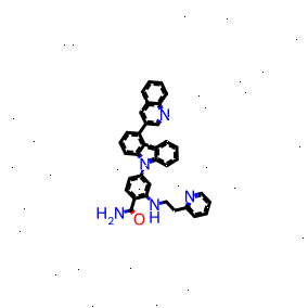 NC(=O)c1ccc(-n2c3ccccc3c3c(-c4cnc5ccccc5c4)cccc32)cc1NCCc1ccccn1